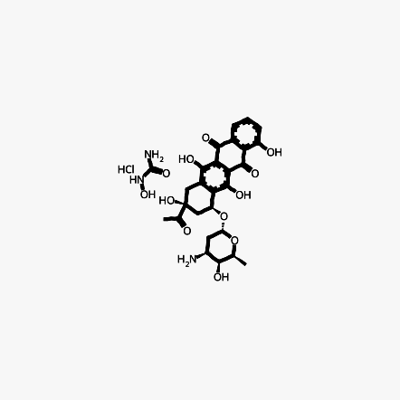 CC(=O)[C@]1(O)Cc2c(O)c3c(c(O)c2[C@@H](O[C@H]2C[C@H](N)[C@H](O)[C@H](C)O2)C1)C(=O)c1c(O)cccc1C3=O.Cl.NC(=O)NO